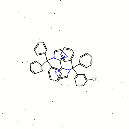 FC(F)(F)c1cccc(C(c2ccccc2)(c2ccccc2)n2ccnc2-c2nccn2C(c2ccccc2)(c2ccccc2)c2ccccc2)c1